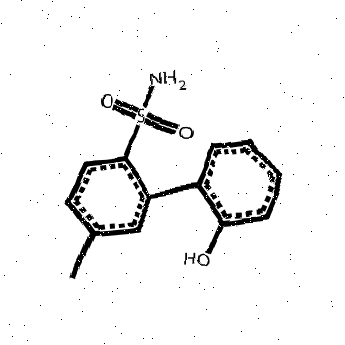 Cc1ccc(S(N)(=O)=O)c(-c2ccccc2O)c1